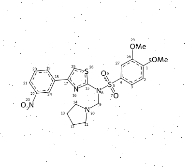 COc1ccc(S(=O)(=O)N(CN2CCCC2)c2nc(-c3cccc([N+](=O)[O-])c3)cs2)cc1OC